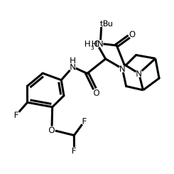 CC(C(=O)Nc1ccc(F)c(OC(F)F)c1)N1CC2CC(C1)N2CC(=O)NC(C)(C)C